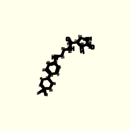 CC1(C)CCC(c2ccc(NCCNC(=O)[C@H]3CNC(=O)N3)cc2)CC1